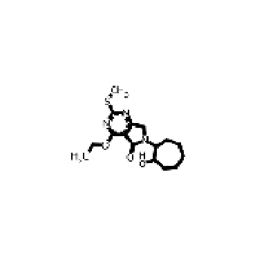 CCOc1nc(SC)nc2c1C(=O)N(C1CCCCCC1O)C2